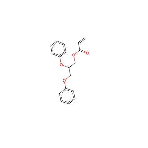 C=CC(=O)OCC(COc1ccccc1)Oc1ccccc1